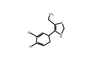 CCC1=C(C2C=C(Cl)C(Cl)=CC2)NCS1